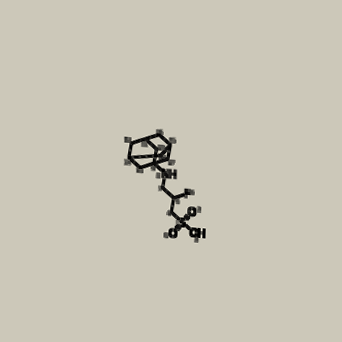 O=S(=O)(O)CC(F)CNC12CC3CC(CC(C3)C1)C2